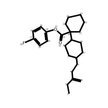 C=C(CC)CCC1CCC(C2(C(=O)Oc3ccc(F)cc3)CCCCC2)CC1